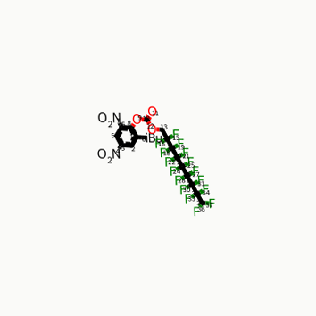 CCC(C)c1cc([N+](=O)[O-])cc([N+](=O)[O-])c1OC(=O)OCC(F)(F)C(F)(F)C(F)(F)C(F)(F)C(F)(F)C(F)(F)C(F)(F)C(F)F